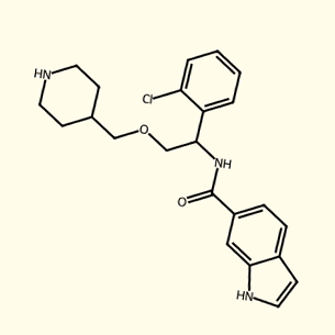 O=C(NC(COCC1CCNCC1)c1ccccc1Cl)c1ccc2cc[nH]c2c1